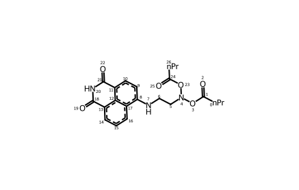 CCCC(=O)ON(CCNc1ccc2c3c(cccc13)C(=O)NC2=O)OC(=O)CCC